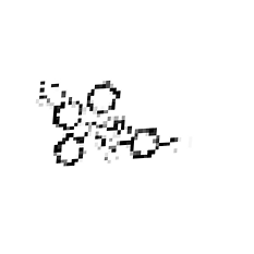 COc1ccc(P(C)(OS(=O)(=O)c2ccc(C)cc2)(c2ccccc2)c2ccccc2)cc1